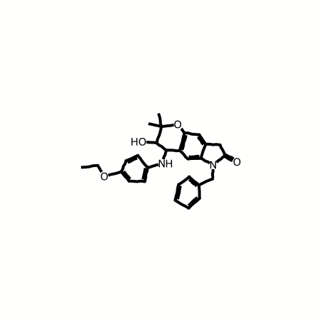 CCOc1ccc(NC2c3cc4c(cc3OC(C)(C)C2O)CC(=O)N4Cc2ccccc2)cc1